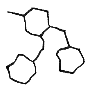 CC1CCC(CC2CCCCC2)C(CC2CCCCC2)C1